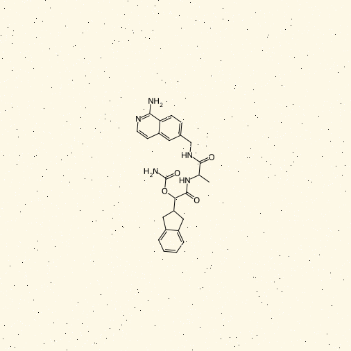 CC(NC(=O)C(OC(N)=O)C1Cc2ccccc2C1)C(=O)NCc1ccc2c(N)nccc2c1